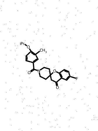 Cc1cc(C(=O)N2CCC3(CC2)CC(=O)c2cc(F)ccc2O3)ccc1OC(C)C